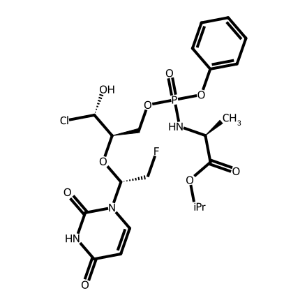 CC(C)OC(=O)[C@H](C)NP(=O)(OC[C@@H](O[C@H](CF)n1ccc(=O)[nH]c1=O)[C@@H](O)Cl)Oc1ccccc1